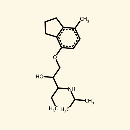 CCC(NC(C)C)C(O)COc1ccc(C)c2c1CCC2